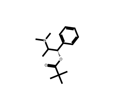 CC([C@@H](OC(=O)C(C)(C)C)c1ccccc1)N(C)C